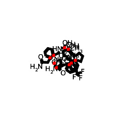 CC1C[C@@H](C2CCCN2[C@@]2(C(=O)NC(=O)O)c3ccc(cc3)C2(C)CC(N)=O)N(c2ccc(C(F)(F)F)cc2)[C@]1(C)C1CCCN1[C@@]1(C(=O)NC(=O)O)c2ccc(cc2)C1(C)CC(N)=O